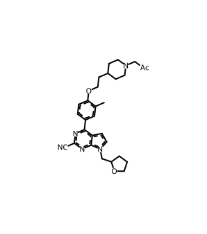 CC(=O)CN1CCC(CCOc2ccc(-c3nc(C#N)nc4c3ccn4CC3CCCO3)cc2C)CC1